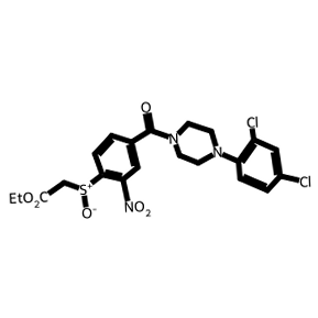 CCOC(=O)C[S+]([O-])c1ccc(C(=O)N2CCN(c3ccc(Cl)cc3Cl)CC2)cc1[N+](=O)[O-]